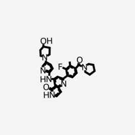 Cc1c(C(=O)N2CCCCC2)ccc(-c2cc(Nc3ccc(N4CCC(O)CC4)cn3)c3c(=O)[nH]ccc3n2)c1F